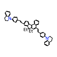 CCC1(CC)c2cc(/C=C/c3ccc(N4CCCc5ccccc54)cc3)ccc2-c2c1cc(/C=C/c1ccc(N3CCCc4ccccc43)cc1)c1ccccc21